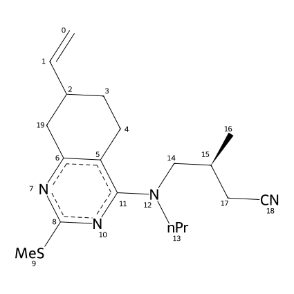 C=CC1CCc2c(nc(SC)nc2N(CCC)C[C@@H](C)CC#N)C1